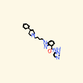 O=C(Nc1ccncn1)c1cccc2c1ncn2CCCCN1CC=C(c2ccccc2)CC1